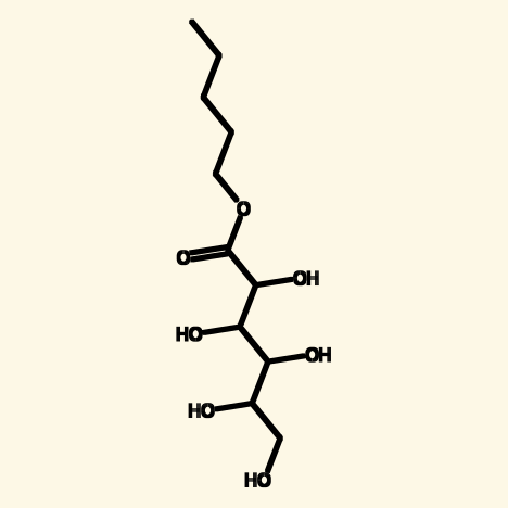 CCCCCOC(=O)C(O)C(O)C(O)C(O)CO